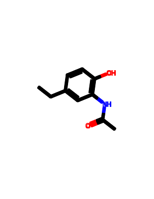 CCc1ccc(O)c(NC(C)=O)c1